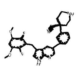 COc1cc(OC)c(F)c(Cc2c[nH]c3ncc(-c4cccc(C5(C#N)CCNCC5)c4)cc23)c1F